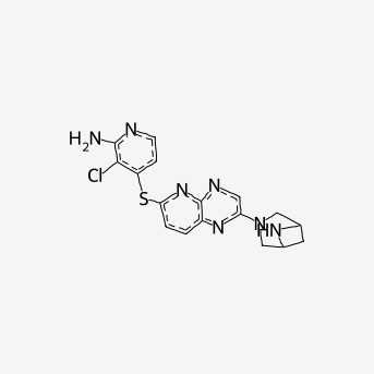 Nc1nccc(Sc2ccc3nc(N4CC5CC(C4)N5)cnc3n2)c1Cl